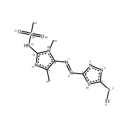 CCSc1nnc(/N=N/c2c(C)nc(NS(C)(=O)=O)n2C)s1